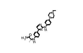 CCN1CCN(c2ccc(Nc3nccc(-c4ccc(N[C@H](C)C(N)=O)cc4)n3)cc2)CC1